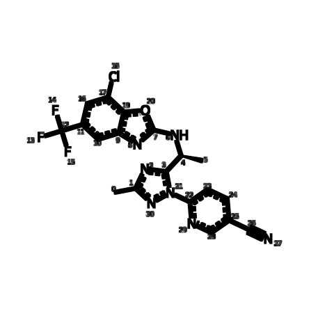 Cc1nc([C@H](C)Nc2nc3cc(C(F)(F)F)cc(Cl)c3o2)n(-c2ccc(C#N)cn2)n1